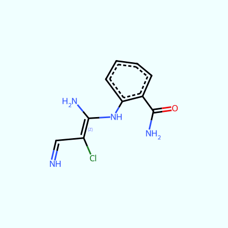 N=C/C(Cl)=C(\N)Nc1ccccc1C(N)=O